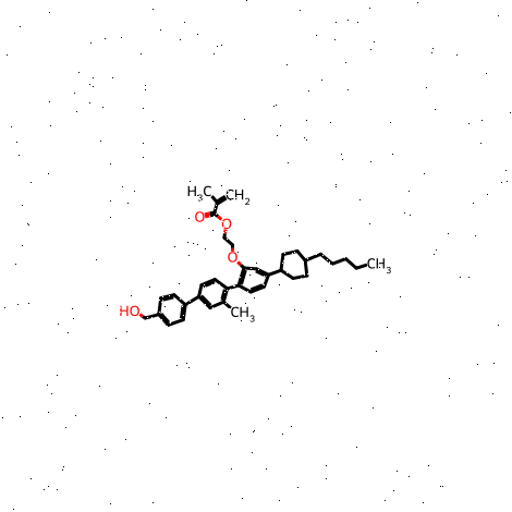 C=C(C)C(=O)OCCOc1cc(C2CCC(CCCCC)CC2)ccc1-c1ccc(-c2ccc(CO)cc2)cc1C